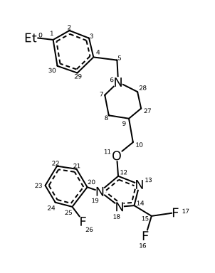 CCc1ccc(CN2CCC(COc3nc(C(F)F)nn3-c3ccccc3F)CC2)cc1